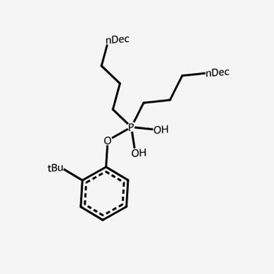 CCCCCCCCCCCCCP(O)(O)(CCCCCCCCCCCCC)Oc1ccccc1C(C)(C)C